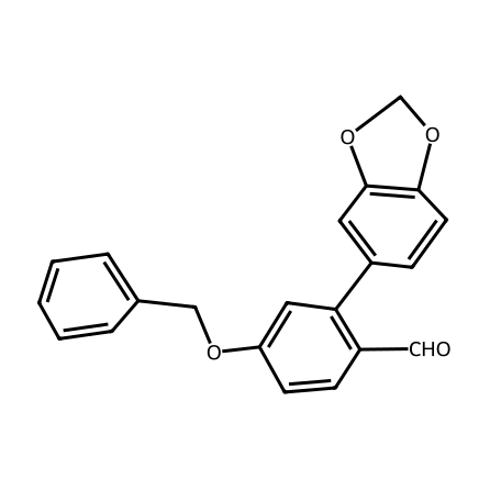 O=Cc1ccc(OCc2ccccc2)cc1-c1ccc2c(c1)OCO2